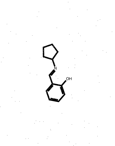 Oc1ccccc1C=NC1CCCC1